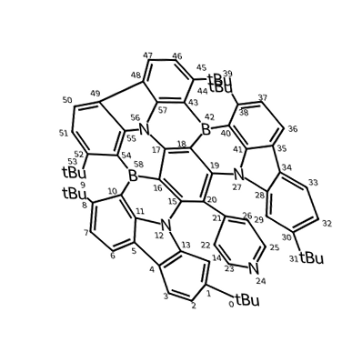 CC(C)(C)c1ccc2c3ccc(C(C)(C)C)c4c3n(c2c1)-c1c2c3c5c(c1-c1ccncc1)-n1c6cc(C(C)(C)C)ccc6c6ccc(C(C)(C)C)c(c61)B5c1c(C(C)(C)C)ccc5c6ccc(C(C)(C)C)c(c6n-3c15)B24